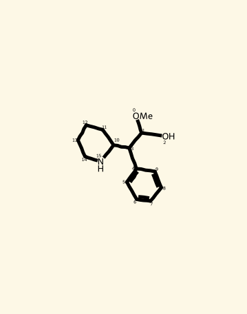 COC(O)C(c1ccccc1)C1CCCCN1